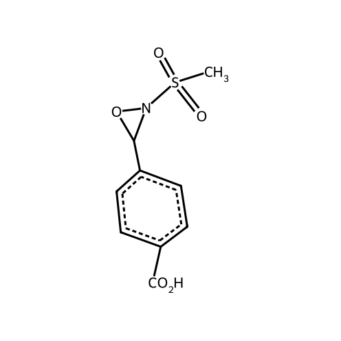 CS(=O)(=O)N1OC1c1ccc(C(=O)O)cc1